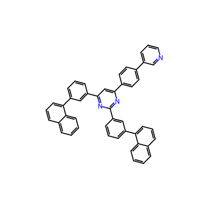 c1cncc(-c2ccc(-c3cc(-c4cccc(-c5cccc6ccccc56)c4)nc(-c4cccc(-c5cccc6ccccc56)c4)n3)cc2)c1